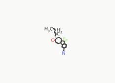 C/C=C\C=C(/C)C[C@@H]1CCC2=C(/C=C\C1=O)c1cc(C#N)ccc1C2(F)F